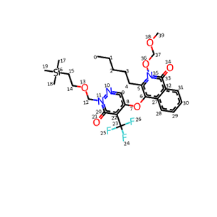 CCCCCc1c(Oc2cnn(COCC[Si](C)(C)C)c(=O)c2C(F)(F)F)c2ccccc2c(=O)n1OCOC